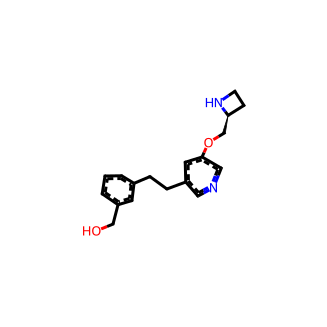 OCc1cccc(CCc2cncc(OC[C@@H]3CCN3)c2)c1